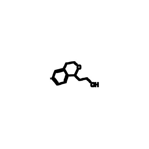 OCCC1OCCc2c[c]ccc21